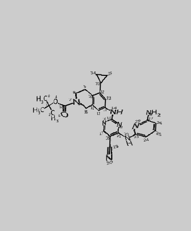 CC(C)(C)OC(=O)N1CCc2c(cc(Nc3ncc(C#N)c(Nc4cccc(N)n4)n3)cc2C2CC2)C1